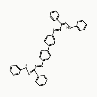 c1ccc(N/N=C(\N=N\c2ccc(-c3ccc(/N=N/C(=N\Nc4ccccc4)c4ccccc4)cc3)cc2)c2ccccc2)cc1